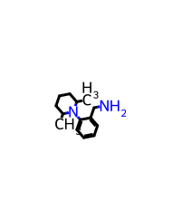 CC1CCCC(C)N1c1ccccc1CN